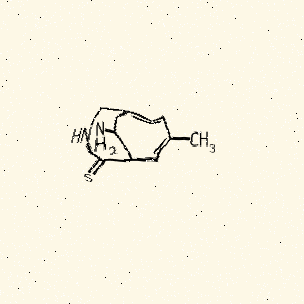 CC1=CC2C(=S)NCC(=C1)C2N